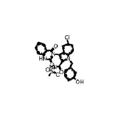 CS(=O)(=O)NC(=O)c1c(-n2c(=O)[nH]c3ccccc3c2=O)c2cc(Cl)ccc2n1Cc1cccc(O)c1